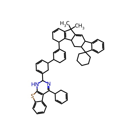 CC1(C)C2=CC3c4ccccc4C4(CCCCC4)C3CC2C2=C1C=CCC2C1=CC(C2C=CC=C(C3N=C(C4C=CC=CC4)c4c(sc5ccccc45)N3)C2)CC=C1